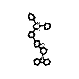 c1ccc(C2=NC(c3ccccc3)CC(c3cccc(-c4ccc5c(c4)oc4ccc(-n6c7ccccc7c7ccccc76)cc45)c3)=N2)cc1